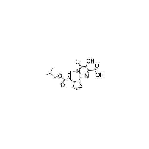 CC(C)COC(=O)Nc1ccsc1-c1nc(C(=O)O)c(O)c(=O)n1C